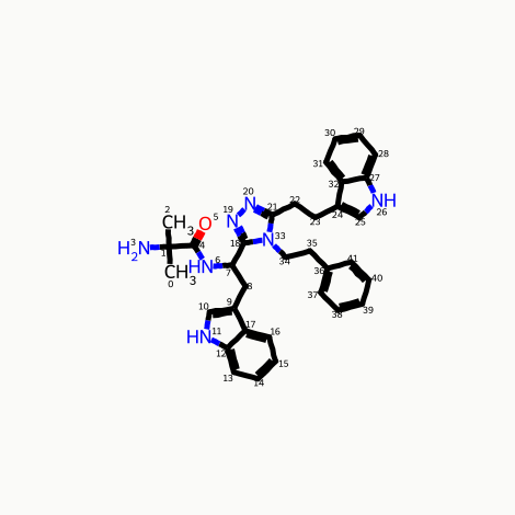 CC(C)(N)C(=O)NC(Cc1c[nH]c2ccccc12)c1nnc(CCc2c[nH]c3ccccc23)n1CCc1ccccc1